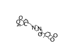 Cc1c(C(=O)CN2CCN(CCc3ccc4c(c3)C[C@@H](C)OC4=O)CC2)ccc2c1COC2=O